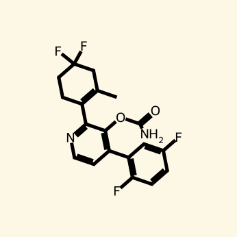 CC1=C(c2nccc(-c3cc(F)ccc3F)c2OC(N)=O)CCC(F)(F)C1